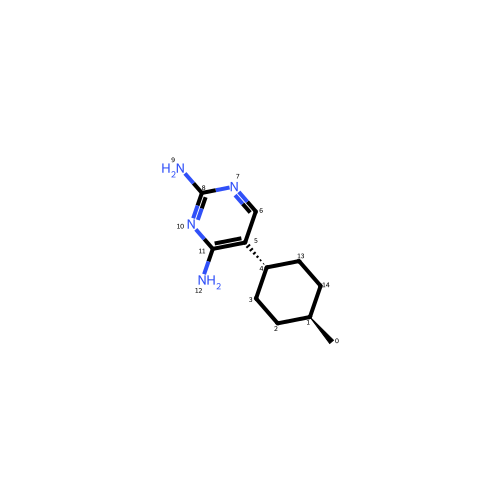 C[C@H]1CC[C@H](c2cnc(N)nc2N)CC1